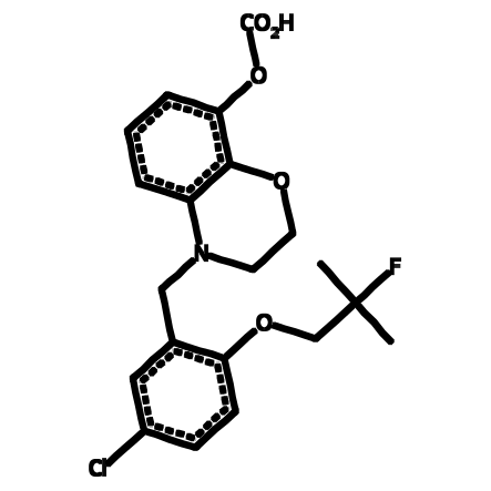 CC(C)(F)COc1ccc(Cl)cc1CN1CCOc2c(OC(=O)O)cccc21